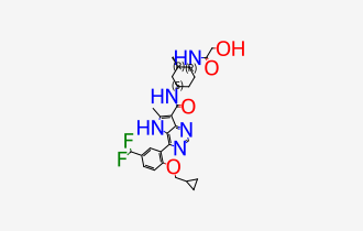 Cc1[nH]c2c(-c3cc(C(F)F)ccc3OCC3CC3)ncnc2c1C(=O)N[C@H]1CC[C@@H](NC(=O)CO)[C@H](C)C1